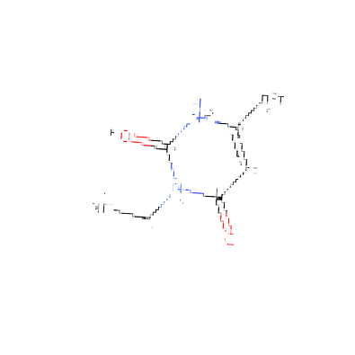 CCCc1cc(=O)n(CC#N)c(=O)[nH]1